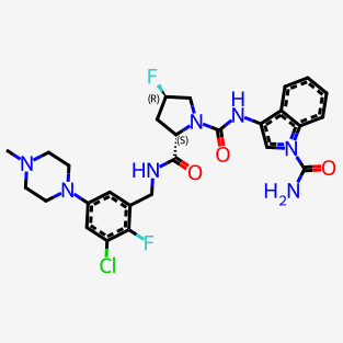 CN1CCN(c2cc(Cl)c(F)c(CNC(=O)[C@@H]3C[C@@H](F)CN3C(=O)Nc3cn(C(N)=O)c4ccccc34)c2)CC1